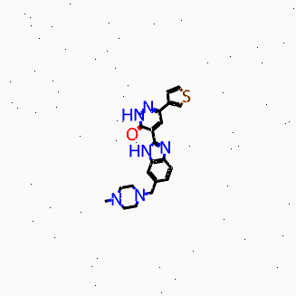 CN1CCN(Cc2ccc3nc(-c4cc(-c5ccsc5)n[nH]c4=O)[nH]c3c2)CC1